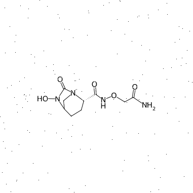 NC(=O)CONC(=O)[C@@H]1CCC2CN1C(=O)N2O